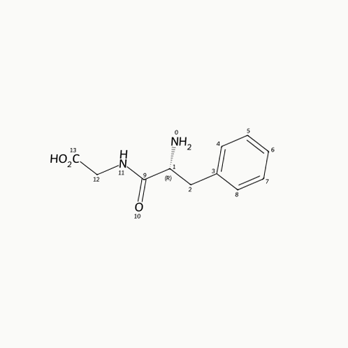 N[C@H](Cc1ccccc1)C(=O)NCC(=O)O